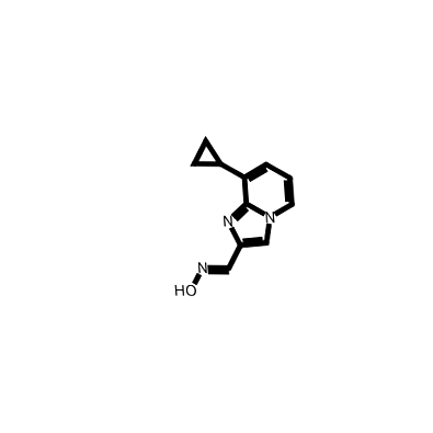 ON=Cc1cn2cccc(C3CC3)c2n1